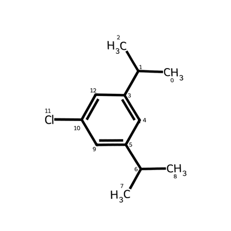 CC(C)c1[c]c(C(C)C)cc(Cl)c1